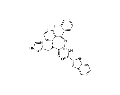 O=C(N[C@H]1N=C(c2ccccc2F)c2ccccc2N(Cc2c[nH]cn2)C1=O)c1cc2ccccc2[nH]1